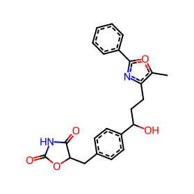 Cc1oc(-c2ccccc2)nc1CCC(O)c1ccc(CC2OC(=O)NC2=O)cc1